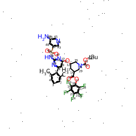 Cc1cccc(C)c1-c1cc(OC2CC(C(=O)Oc3c(F)c(F)c(F)c(F)c3F)CN(C(=O)OC(C)(C)C)C2)nc(NS(=O)(=O)c2cncc(N)c2)n1